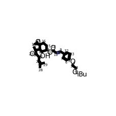 CCC(C)OCCOc1ccc(/C=C/C(=O)O[C@@H]2CCC3(CO3)C(C3(C)OC3CC=C(C)C)[C@@H]2O)cc1